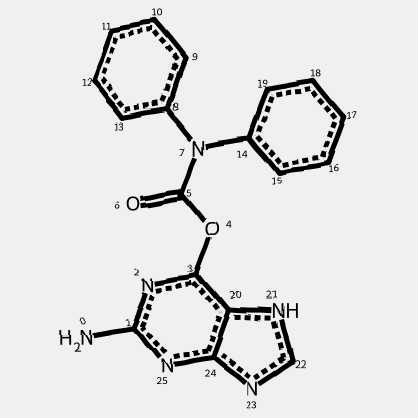 Nc1nc(OC(=O)N(c2ccccc2)c2ccccc2)c2[nH]cnc2n1